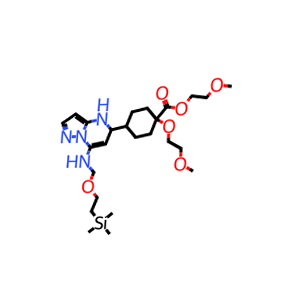 COCCOC(=O)C1(OCCOC)CCC(C2C=C(NCOCC[Si](C)(C)C)n3nccc3N2)CC1